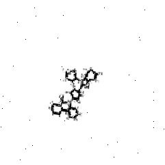 O=c1c2ccccc2c2ccccc2n1-c1ccc(-c2nc3ccccc3n2-c2ccccc2)cc1